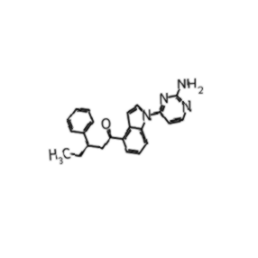 CC[C@H](CC(=O)c1cccc2c1ccn2-c1ccnc(N)n1)c1ccccc1